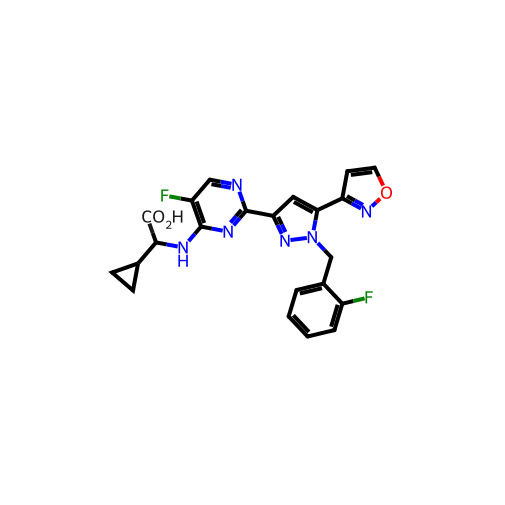 O=C(O)C(Nc1nc(-c2cc(-c3ccon3)n(Cc3ccccc3F)n2)ncc1F)C1CC1